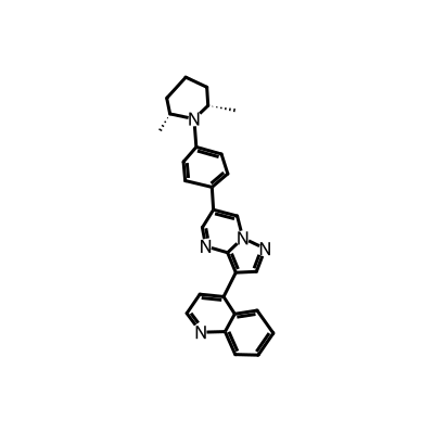 C[C@@H]1CCC[C@H](C)N1c1ccc(-c2cnc3c(-c4ccnc5ccccc45)cnn3c2)cc1